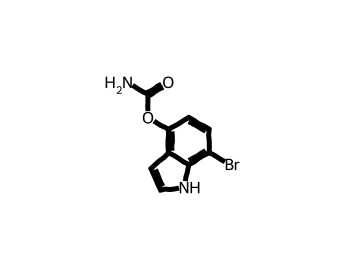 NC(=O)Oc1ccc(Br)c2[nH]ccc12